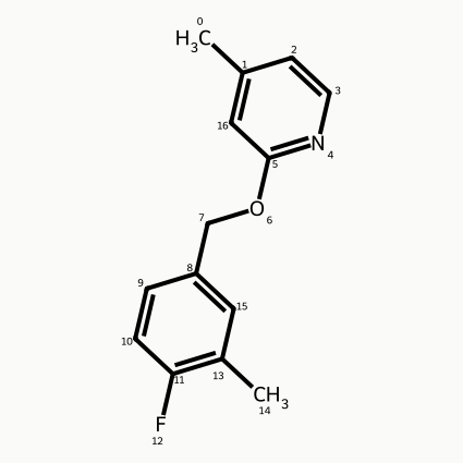 Cc1ccnc(OCc2ccc(F)c(C)c2)c1